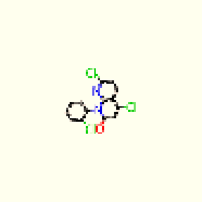 O=c1cc(Cl)c2ccc(Cl)nc2n1-c1ccccc1Cl